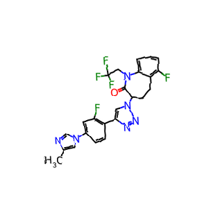 Cc1cn(-c2ccc(-c3cn(C4CCc5c(F)cccc5N(CC(F)(F)F)C4=O)nn3)c(F)c2)cn1